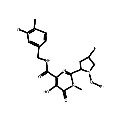 CCON1CC(F)CC1c1nc(C(=O)NCc2ccc(C)c(Cl)c2)c(O)c(=O)n1C